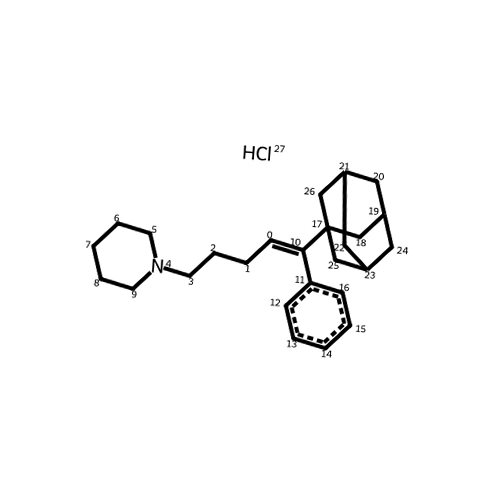 C(/CCCN1CCCCC1)=C(/c1ccccc1)C12CC3CC(CC(C3)C1)C2.Cl